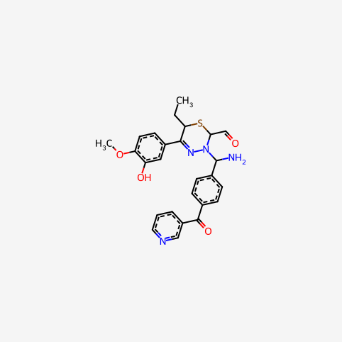 CCC1SC(C=O)N(C(N)c2ccc(C(=O)c3cccnc3)cc2)N=C1c1ccc(OC)c(O)c1